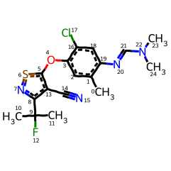 Cc1cc(Oc2snc(C(C)(C)F)c2C#N)c(Cl)cc1N=CN(C)C